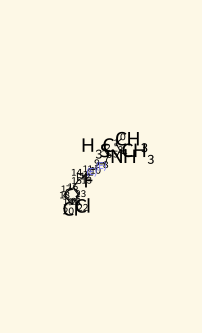 CC(C)C(C)NC(=S)/C=C/C=C/C1(F)CC1c1ccc(Cl)c(Cl)c1